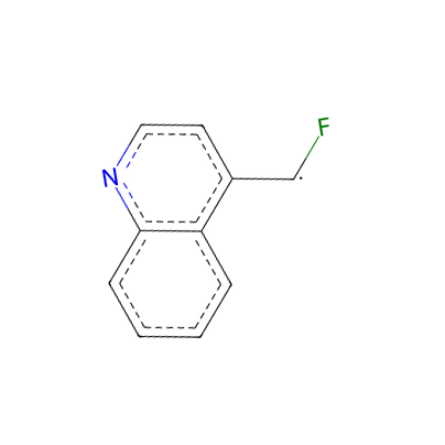 F[CH]c1ccnc2ccccc12